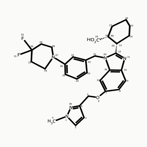 Cn1ccc(COc2ccc3nc([C@H]4CCCC[C@H]4C(=O)O)n(Cc4cccc(N5CCC(F)(F)CC5)c4)c3c2)n1